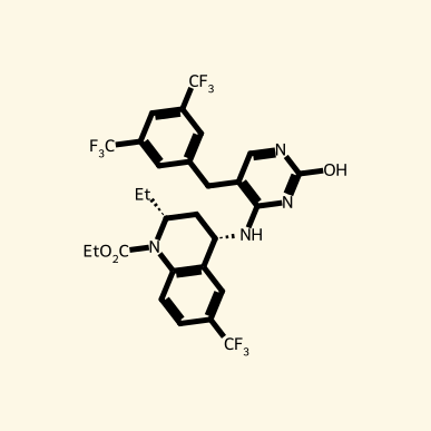 CCOC(=O)N1c2ccc(C(F)(F)F)cc2[C@@H](Nc2nc(O)ncc2Cc2cc(C(F)(F)F)cc(C(F)(F)F)c2)C[C@H]1CC